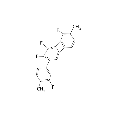 Cc1ccc(-c2cc3c(c(F)c2F)-c2c-3ccc(C)c2F)cc1F